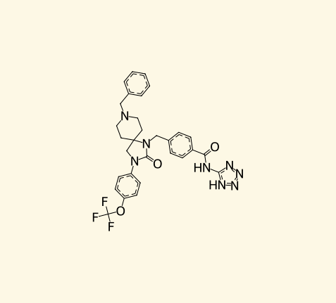 O=C(Nc1nnn[nH]1)c1ccc(CN2C(=O)N(c3ccc(OC(F)(F)F)cc3)CC23CCN(Cc2ccccc2)CC3)cc1